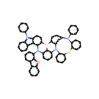 c1ccc(N2c3ccc4c(c3)N(c3ccccc3Sc3ccccc32)c2cccc3c2B4c2ccc4c(c2N3c2cccc3c2oc2ccccc23)c2ccccc2n4-c2ccccc2)cc1